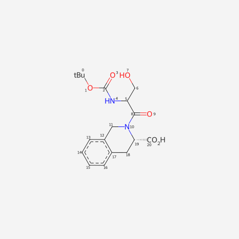 CC(C)(C)OC(=O)NC(CO)C(=O)N1Cc2ccccc2C[C@H]1C(=O)O